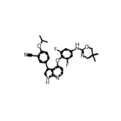 CC(C)Oc1ccc(-c2c[nH]c3nccc(Oc4c(F)cc(NC5=NCC(C)(C)CO5)cc4F)c23)cc1C#N